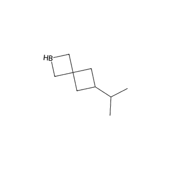 CC(C)C1CC2(CBC2)C1